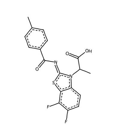 Cc1ccc(C(=O)/N=c2\sc3c(F)c(F)ccc3n2C(C)C(=O)O)cc1